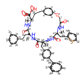 O=C1COc2ccc(cc2)C[C@H](C(=O)O)NC(=O)[C@H](CCc2ccccc2)NC(=O)[C@@H](Cc2ccc(-c3ccccc3)cc2)NC(=O)[C@H](Cc2cccs2)N1